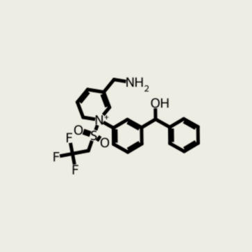 NCC1=C[N+](c2cccc(C(O)c3ccccc3)c2)(S(=O)(=O)CC(F)(F)F)CC=C1